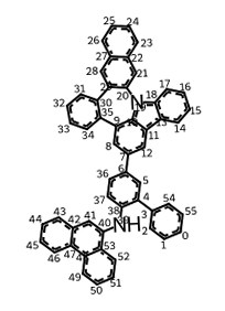 c1ccc(-c2cc(-c3cc4c5c(c3)c3ccccc3n5-c3cc5ccccc5cc3-c3ccccc3-4)ccc2Nc2cc3ccccc3c3ccccc23)cc1